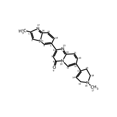 Cc1cn2cc(-c3cc(=O)n4cc(C5=CCN(C)CC5)ccc4n3)ccc2n1